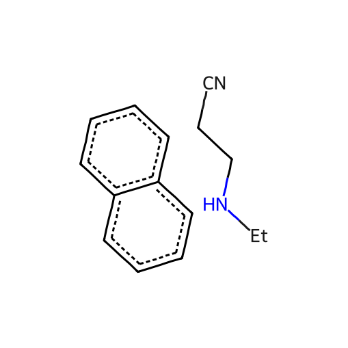 CCNCCC#N.c1ccc2ccccc2c1